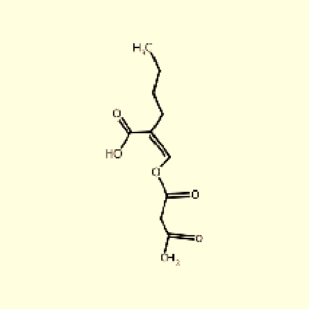 CCCCC(=COC(=O)CC(C)=O)C(=O)O